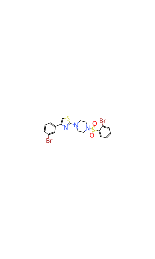 O=S(=O)(c1ccccc1Br)N1CCN(c2nc(-c3cccc(Br)c3)cs2)CC1